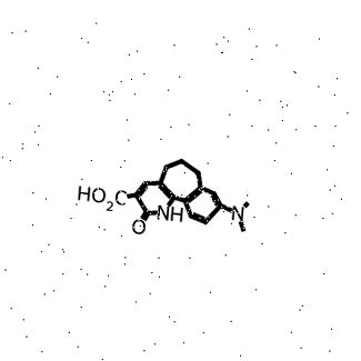 CN(C)c1ccc2c(c1)CCCc1cc(C(=O)O)c(=O)[nH]c1-2